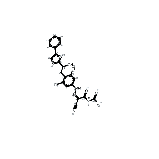 CC(Cc1c(Cl)cc(NN=C(C#N)C(=O)NC(=O)O)cc1Cl)c1nc(-c2ccccc2)cs1